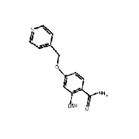 COc1cc(OCc2ccncc2)ccc1C(N)=O